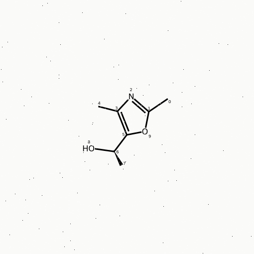 Cc1nc(C)c([C@@H](C)O)o1